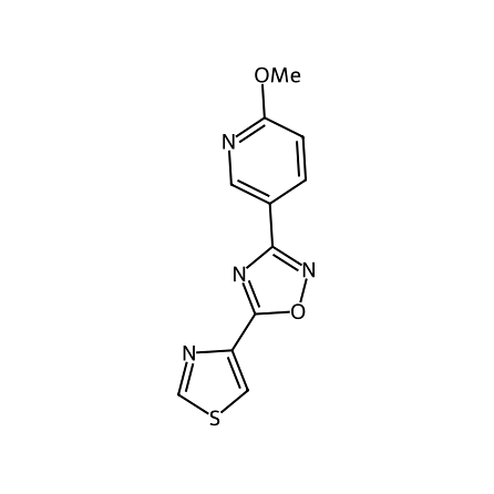 COc1ccc(-c2noc(-c3cscn3)n2)cn1